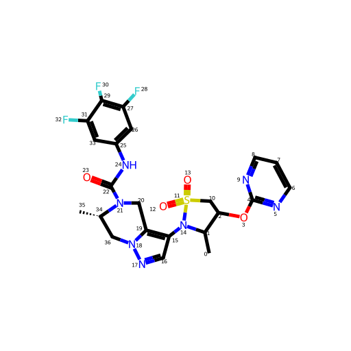 CC1C(Oc2ncccn2)CS(=O)(=O)N1c1cnn2c1CN(C(=O)Nc1cc(F)c(F)c(F)c1)[C@@H](C)C2